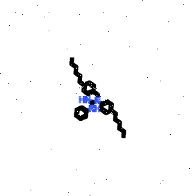 CCCCCCc1ccc(CN(C(=N)Nc2ccccc2)c2ccc(CCCCCC)cc2)cc1